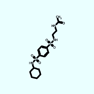 CC(=O)NCCNS(=O)(=O)c1ccc(S(=O)(=O)NC2CCCCC2)cc1